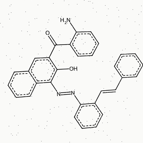 Nc1ccccc1C(=O)c1cc2ccccc2c(N=Nc2ccccc2C=Cc2ccccc2)c1O